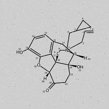 C=CC[N+]1(CC2CC2)CC[C@]23c4c5ccc(O)c4O[C@H]2C(=O)CC[C@@]3(O)[C@H]1C5